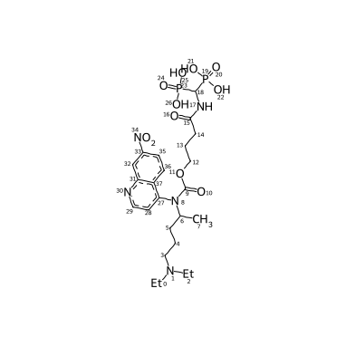 CCN(CC)CCCC(C)N(C(=O)OCCCC(=O)NC(P(=O)(O)O)P(=O)(O)O)c1ccnc2cc([N+](=O)[O-])ccc12